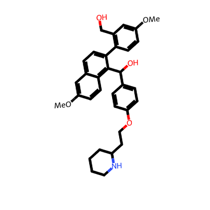 COc1ccc(-c2ccc3cc(OC)ccc3c2C(O)c2ccc(OCCC3CCCCN3)cc2)c(CO)c1